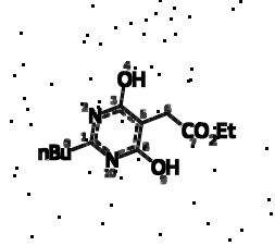 CCCCc1nc(O)c(CC(=O)OCC)c(O)n1